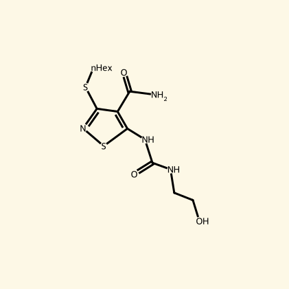 CCCCCCSc1nsc(NC(=O)NCCO)c1C(N)=O